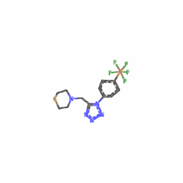 FS(F)(F)(F)(F)c1ccc(-n2nnnc2CN2CCSCC2)cc1